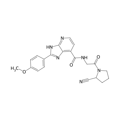 COc1ccc(-c2nc3c(C(=O)NCC(=O)N4CCCC4C#N)ccnc3[nH]2)cc1